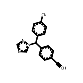 C#Cc1ccc(C(c2ccc(C#N)cc2)n2cncn2)cc1